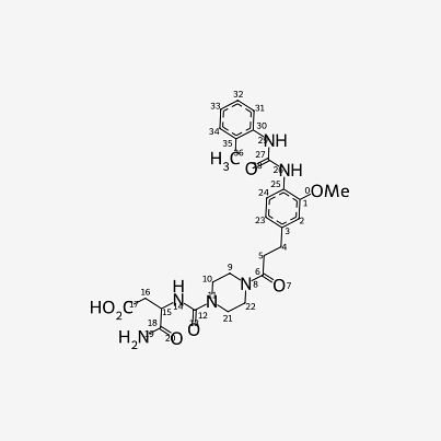 COc1cc(CCC(=O)N2CCN(C(=O)NC(CC(=O)O)C(N)=O)CC2)ccc1NC(=O)Nc1ccccc1C